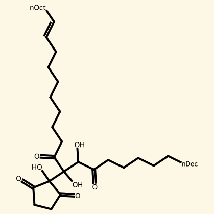 CCCCCCCC/C=C/CCCCCCCC(=O)C(O)(C(O)C(=O)CCCCCCCCCCCCCCC)C1(O)C(=O)CCC1=O